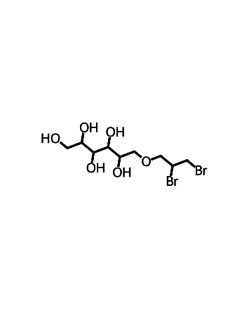 OCC(O)C(O)C(O)C(O)COCC(Br)CBr